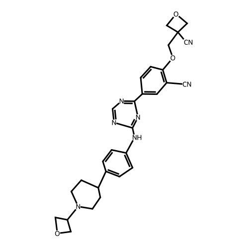 N#Cc1cc(-c2ncnc(Nc3ccc(C4CCN(C5COC5)CC4)cc3)n2)ccc1OCC1(C#N)COC1